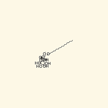 CCCCCCCCCCCCCCCCCCOC[C@H](COP(=O)(O)O[C@@H]1[C@H](O)[C@H](O)[C@@H](O)[C@H](O)[C@H]1O)OC